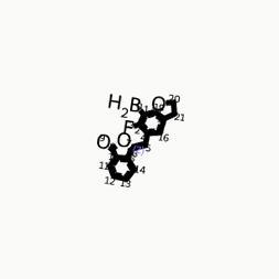 Bc1c(F)c(/C=C2\OC(=O)c3ccccc32)cc2c1OCC2